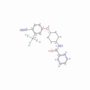 N#Cc1ccc(OC2CCC(NC(=O)c3cnccn3)CC2)cc1C(F)(F)F